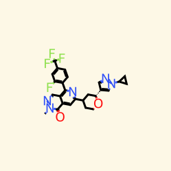 Cn1ncc2c(-c3ccc(C(F)(F)F)cc3F)nc(C3CCO[C@@H](c4cnn(C5CC5)c4)C3)cc2c1=O